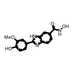 COc1cc(-c2nc3ccc(C(=O)NO)cc3[nH]2)ccc1O